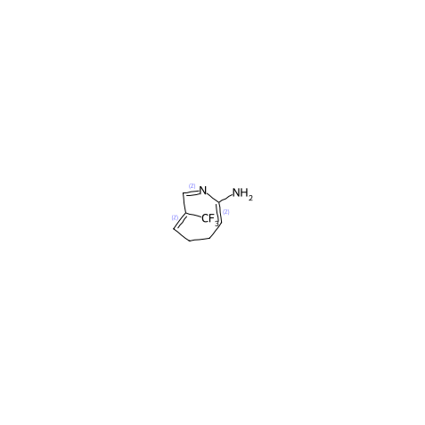 NC1=C/CC/C=C(C(F)(F)F)/C=N\1